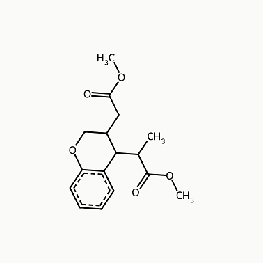 COC(=O)CC1COc2ccccc2C1C(C)C(=O)OC